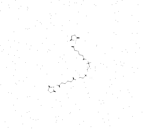 CC(C)(CCOC(=O)CCCCC(=O)ON1C(=O)CCC1=O)OCCC(C)(C)OC(=O)CCCCC(=O)ON1C(=O)CCC1=O